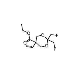 C=CC1(C(=O)OCC)COC(CF)(CF)OC1